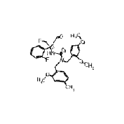 COc1ccc(CN(Cc2ccc(C)cc2OC)C(=O)N[C@@](CF)(CC=O)c2ccccc2F)c(OC)c1